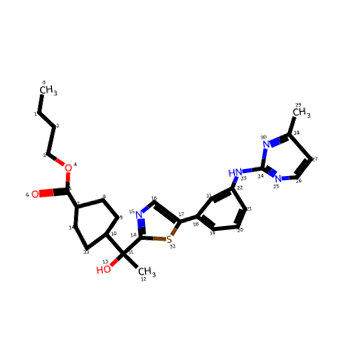 CCCCOC(=O)C1CCC(C(C)(O)c2ncc(-c3cccc(Nc4nccc(C)n4)c3)s2)CC1